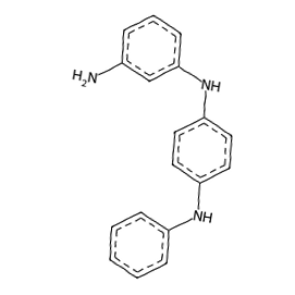 Nc1cccc(Nc2ccc(Nc3ccccc3)cc2)c1